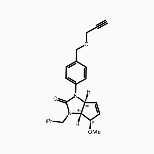 C#CCOCc1ccc(N2C(=O)N(CC(C)C)[C@@H]3[C@H]2C=C[C@H]3OC)cc1